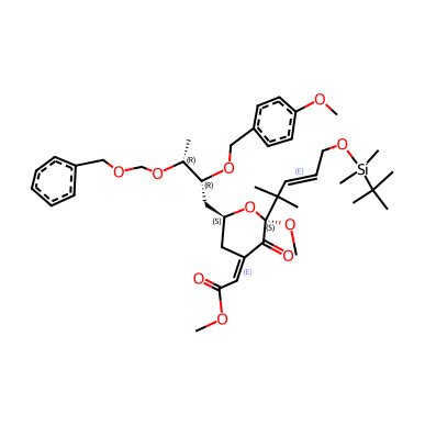 COC(=O)/C=C1\C[C@@H](C[C@@H](OCc2ccc(OC)cc2)[C@@H](C)OCOCc2ccccc2)O[C@@](OC)(C(C)(C)/C=C/CO[Si](C)(C)C(C)(C)C)C1=O